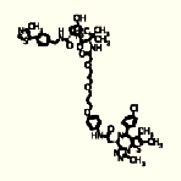 Cc1ncsc1-c1ccc(CNC(=O)[C@@H]2C[C@@H](O)CN2C(=O)[C@@H](NC(=O)COCCCOCCCOc2ccc(NC(=O)C[C@@H]3N=C(c4ccc(Cl)cc4)c4c(sc(C)c4C)-n4c(C)nnc43)cc2)C(C)(C)C)cc1